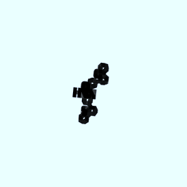 C1=CC2Nc3oc4ccc(-c5cccc6c5oc5ccccc56)cc4c3N=C2C=C1c1cccc2c1sc1ccccc12